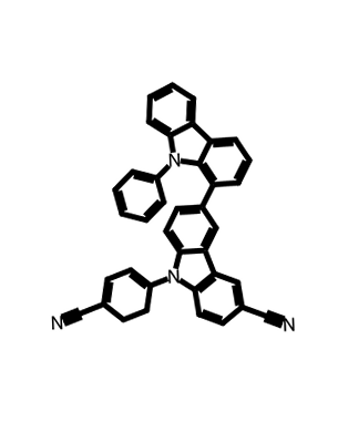 N#CC1=CC=C(n2c3ccc(C#N)cc3c3cc(-c4cccc5c6ccccc6n(-c6ccccc6)c45)ccc32)CC1